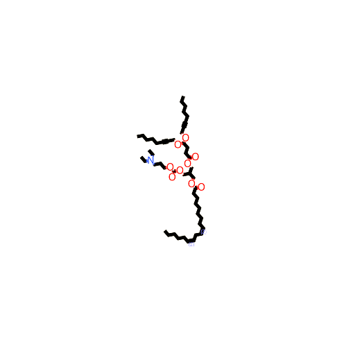 CCCCCC#CCOC(CCC(=O)OCC(COC(=O)CCCCCCC/C=C\C/C=C\CCCCC)COC(=O)OCCCN(CC)CC)OCC#CCCCCC